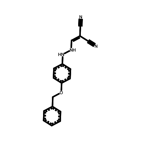 N#CC(C#N)=CNNc1ccc(OCc2ccccc2)cc1